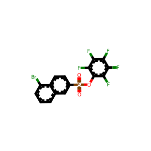 O=S(=O)(Oc1c(F)c(F)c(F)c(F)c1F)c1ccc2c(Br)cccc2c1